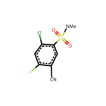 CNS(=O)(=O)c1cc(C#N)c(F)cc1Cl